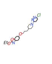 CCOc1nc2ccc(OCCCC3CCN(c4ccc(Cl)nn4)CC3)cc2o1